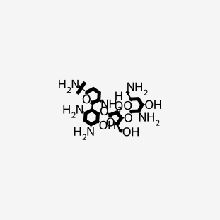 CC(C)(N)[C@@H]1CC[C@@H](N)[C@@H](C2[C@@H](N)C[C@@H](N)[C@H](O)[C@H]2O[C@@H]2O[C@H](CO)[C@@H](O[C@H]3O[C@@H](CN)C[C@H](O)[C@H]3N)[C@H]2O)O1